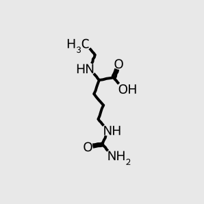 CCNC(CCCNC(N)=O)C(=O)O